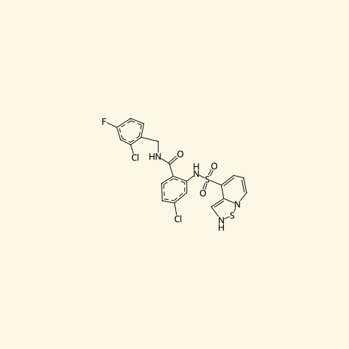 O=C(NCc1ccc(F)cc1Cl)c1ccc(Cl)cc1NS(=O)(=O)C1=CC=CN2SNC=C12